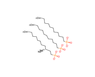 CCCCCCCCCCCCCCCCCCCCP(=O)([O-])[O-].CCCCCCCCCCCCCCCCCCCCP(=O)([O-])[O-].CCCCCCCCCCCCCCCCCCCCP(=O)([O-])[O-].[Nd+3].[Nd+3]